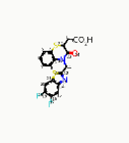 O=C(O)CC1Sc2ccccc2N(Cc2nc3cc(F)c(F)cc3s2)C1=O